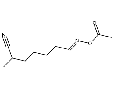 CC(=O)ON=CCCCCC(C)C#N